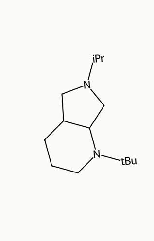 CC(C)N1CC2CCCN(C(C)(C)C)C2C1